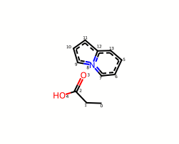 CCC(=O)O.c1ccn2cccc2c1